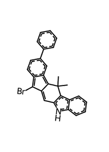 CC1(C)C2=c3cc(-c4ccccc4)ccc3=C(Br)C2=Cc2[nH]c3ccccc3c21